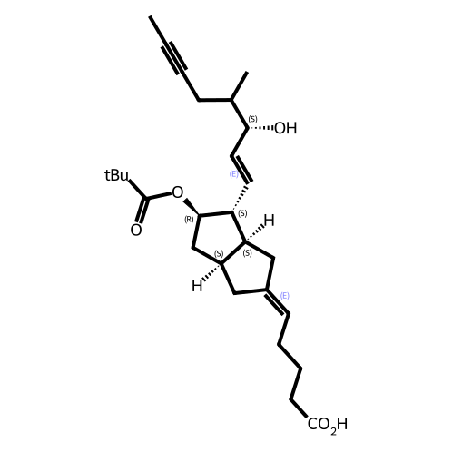 CC#CCC(C)[C@H](O)/C=C/[C@@H]1[C@H]2C/C(=C/CCCC(=O)O)C[C@H]2C[C@H]1OC(=O)C(C)(C)C